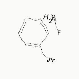 CC(C)c1ccccc1.NF